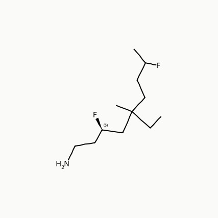 CCC(C)(CCC(C)F)C[C@H](F)CCN